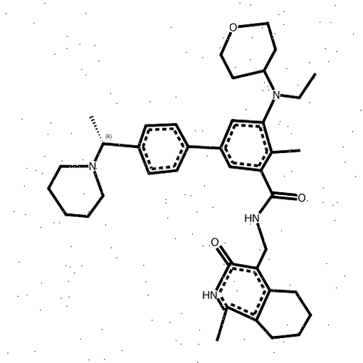 CCN(c1cc(-c2ccc([C@@H](C)N3CCCCC3)cc2)cc(C(=O)NCc2c3c(c(C)[nH]c2=O)CCCC3)c1C)C1CCOCC1